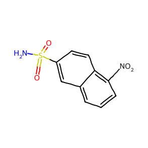 NS(=O)(=O)c1ccc2c([N+](=O)[O-])cccc2c1